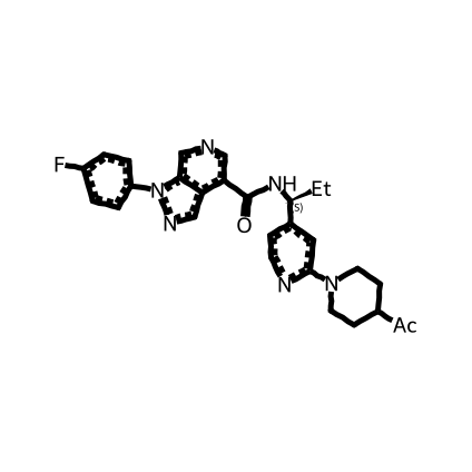 CC[C@H](NC(=O)c1cncc2c1cnn2-c1ccc(F)cc1)c1ccnc(N2CCC(C(C)=O)CC2)c1